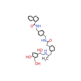 C[C@H](Cc1cccc(CC(=O)NCc2ccc(CNC(=O)c3cccc4ccccc34)cc2)c1)NC[C@H](O)c1ccc(O)c(CO)c1